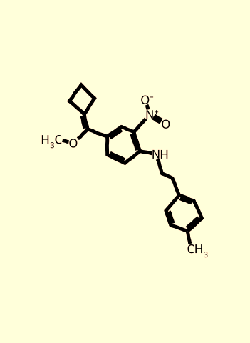 COC(=C1CCC1)c1ccc(NCCc2ccc(C)cc2)c([N+](=O)[O-])c1